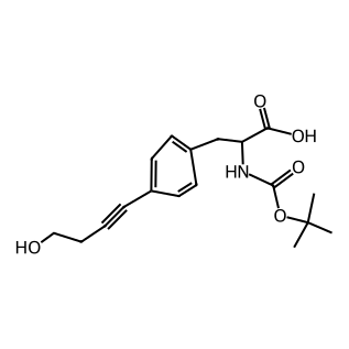 CC(C)(C)OC(=O)NC(Cc1ccc(C#CCCO)cc1)C(=O)O